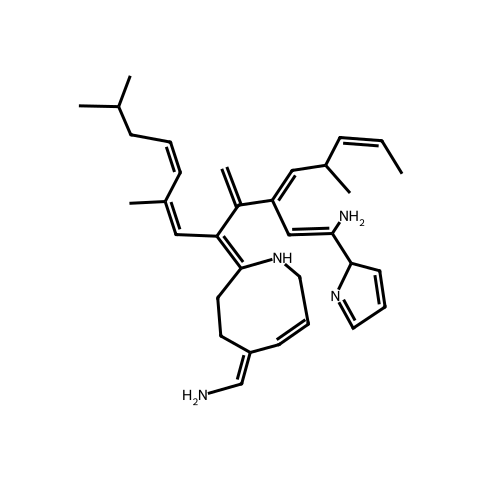 C=C(/C(C=C(C)/C=C\CC(C)C)=C1/CCC(=C\N)/C=C\CN1)C(/C=C(\N)C1C=CC=N1)=C/C(C)/C=C\C